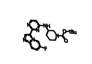 CC(C)(C)OC(=O)N1CCCC(Nc2ccnc(-c3cnc4ccc(F)cn34)n2)C1